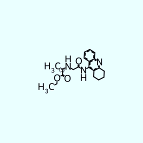 CCOC(=O)[C@H](C)NCC(=O)Nc1c2c(nc3ccccc13)CCCC2